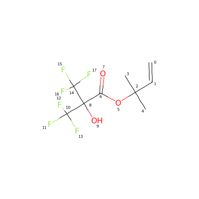 C=CC(C)(C)OC(=O)C(O)(C(F)(F)F)C(F)(F)F